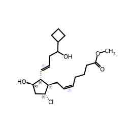 COC(=O)CCC/C=C\C[C@@H]1[C@@H](/C=C/CC(O)C2CCC2)[C@H](O)C[C@H]1Cl